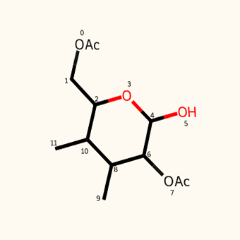 CC(=O)OCC1OC(O)C(OC(C)=O)C(C)C1C